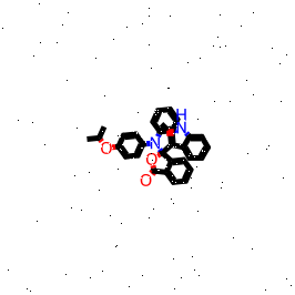 Cc1[nH]c2ccccc2c1C1(N(c2ccccc2)c2ccc(OC(C)C)cc2)OC(=O)c2ccccc21